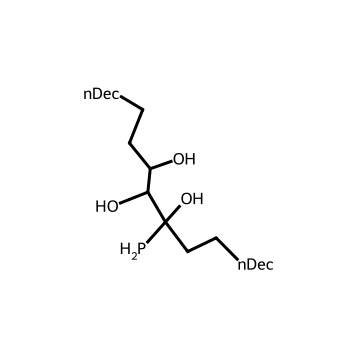 CCCCCCCCCCCCC(O)C(O)C(O)(P)CCCCCCCCCCCC